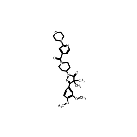 COc1ccc(C2=NN(C3CCN(C(=O)c4ccnc(N5CCOCC5)c4)CC3)C(=O)C2(C)C)cc1OC